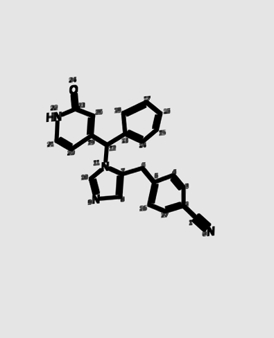 N#Cc1ccc(Cc2cncn2C(c2ccccc2)c2cc[nH]c(=O)c2)cc1